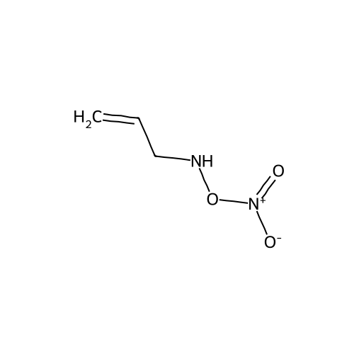 C=CCNO[N+](=O)[O-]